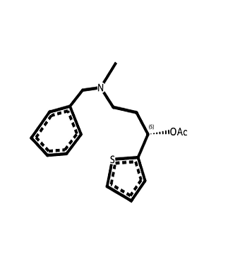 CC(=O)O[C@@H](CCN(C)Cc1ccccc1)c1cccs1